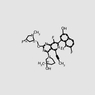 CC#Cc1nc(-c2cc(O)cc3ccc(F)c(CC)c23)c(F)c2nc(OC[C@@H]3C[C@@H](F)CN3C)nc(N3CCC[C@@](C)(O)C3)c12